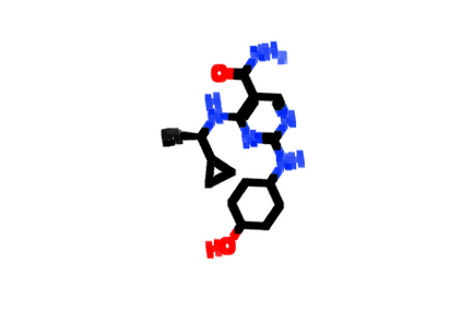 CC[C@@H](Nc1nc(NC2CCC(O)CC2)ncc1C(N)=O)C1CC1